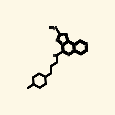 CN1CCN(CCCNc2nc3ccncc3c3cc(C(=O)O)nn23)CC1